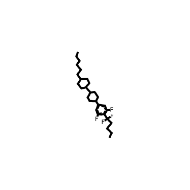 CCCCCCC1CCC(C2CCC(c3cc(F)c(C(F)(F)CCCC)c(F)c3)CC2)CC1